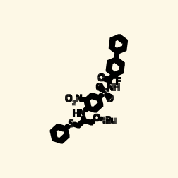 CC(C)(C)OCC(CSc1ccccc1)Nc1ccc(S(=O)(=O)NC(=O)C2(F)C=CC(c3ccccc3)=CC2)cc1[N+](=O)[O-]